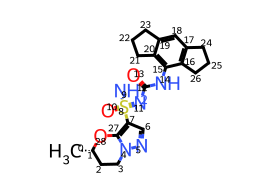 C[C@H]1CCn2ncc(S(N)(=O)=NC(=O)Nc3c4c(cc5c3CCC5)CCC4)c2O1